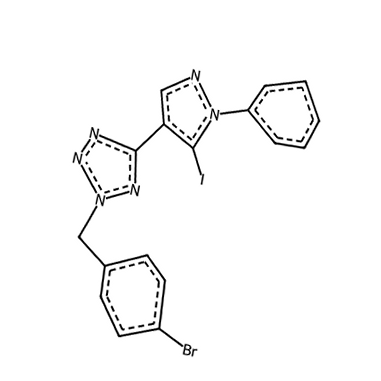 Brc1ccc(Cn2nnc(-c3cnn(-c4ccccc4)c3I)n2)cc1